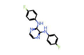 Fc1ccc(Nc2nccnc2Nc2ccc(F)cc2)cc1